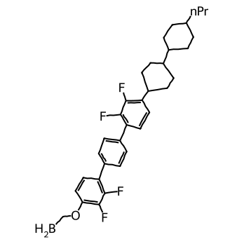 BCOc1ccc(-c2ccc(-c3ccc(C4CCC(C5CCC(CCC)CC5)CC4)c(F)c3F)cc2)c(F)c1F